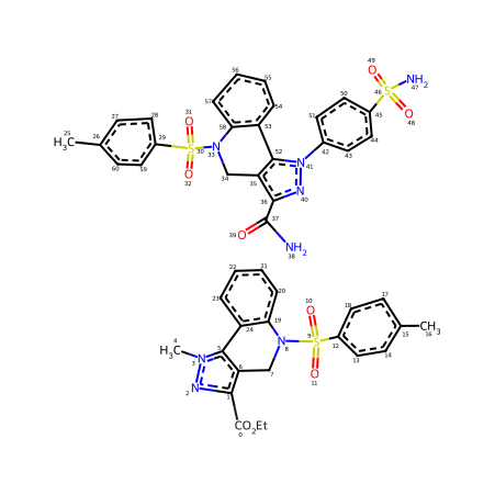 CCOC(=O)c1nn(C)c2c1CN(S(=O)(=O)c1ccc(C)cc1)c1ccccc1-2.Cc1ccc(S(=O)(=O)N2Cc3c(C(N)=O)nn(-c4ccc(S(N)(=O)=O)cc4)c3-c3ccccc32)cc1